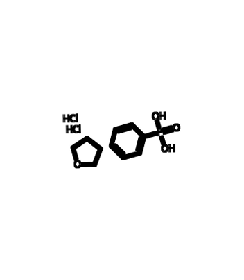 C1CCOC1.Cl.Cl.O=P(O)(O)c1ccccc1